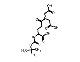 CC(C)(C)OC(=O)NC(CCC(=O)N(CC(=O)O)CC(=O)O)C(=O)O